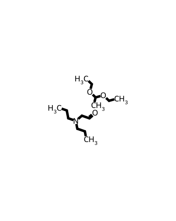 CCCN(CC=O)CCC.CCOC(C)OCC